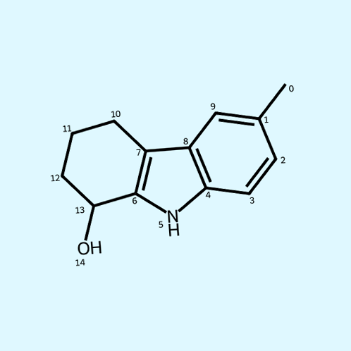 Cc1ccc2[nH]c3c(c2c1)CCCC3O